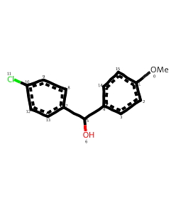 COc1ccc(C(O)c2ccc(Cl)cc2)cc1